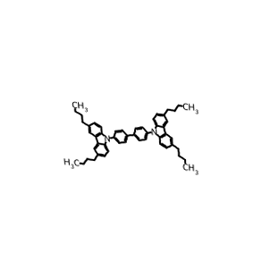 CCCCc1ccc2c(c1)c1cc(CCCC)ccc1n2-c1ccc(-c2ccc(-n3c4ccc(CCCC)cc4c4cc(CCCC)ccc43)cc2)cc1